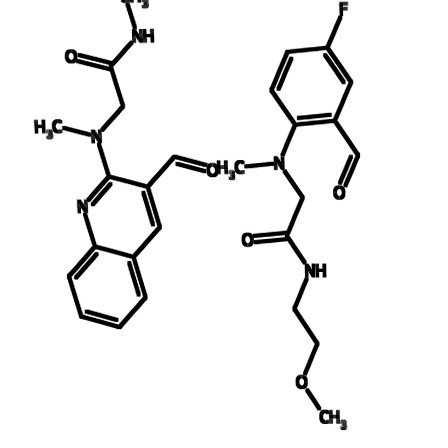 CNC(=O)CN(C)c1nc2ccccc2cc1C=O.COCCNC(=O)CN(C)c1ccc(F)cc1C=O